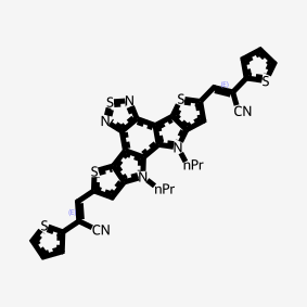 CCCn1c2cc(/C=C(\C#N)c3cccs3)sc2c2c3nsnc3c3c4sc(/C=C(\C#N)c5cccs5)cc4n(CCC)c3c21